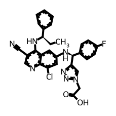 CC[C@@H](Nc1c(C#N)cnc2c(Cl)cc(N[C@@H](c3ccc(F)cc3)c3cn(CC(=O)O)nn3)cc12)c1ccccc1